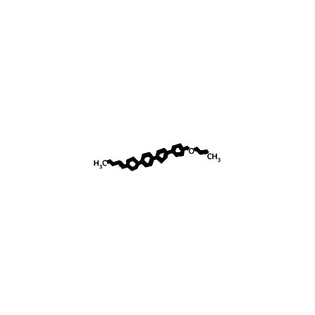 CC=CCOCc1ccc(-c2ccc(-c3ccc(C4CCC(/C=C/CCC)CC4)cc3)cc2)cc1